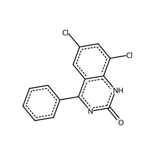 O=c1nc(-c2ccccc2)c2cc(Cl)cc(Cl)c2[nH]1